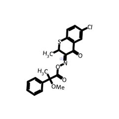 COC(C)(C(=O)O/N=C1/C(=O)c2cc(Cl)ccc2SC1C)c1ccccc1